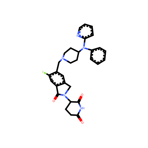 O=C1CCC(N2Cc3cc(CN4CCC(N(c5ccccc5)c5ccccn5)CC4)c(F)cc3C2=O)C(=O)N1